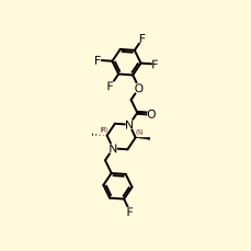 C[C@@H]1CN(C(=O)COc2c(F)c(F)cc(F)c2F)[C@@H](C)CN1Cc1ccc(F)cc1